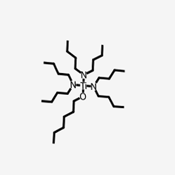 CCCCCC[O][Ti]([N](CCCC)CCCC)([N](CCCC)CCCC)[N](CCCC)CCCC